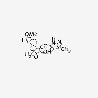 COc1cc2c(cc1I)C1CC[C@]3(C)C(=O)/C(=C/O)[C@@H](CCCC(=O)Nc4ncc(C)s4)C3C1CC2